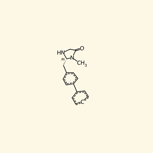 CN1C(=O)CN[C@H]1Cc1ccc(-c2ccccc2)cc1